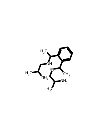 CC(N)CNC(C)c1ccccc1C(C)NCC(C)N